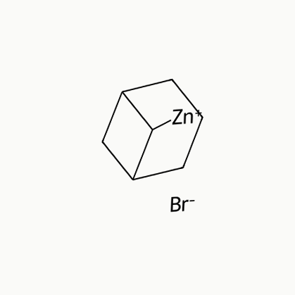 [Br-].[Zn+][CH]1C2CCCC1C2